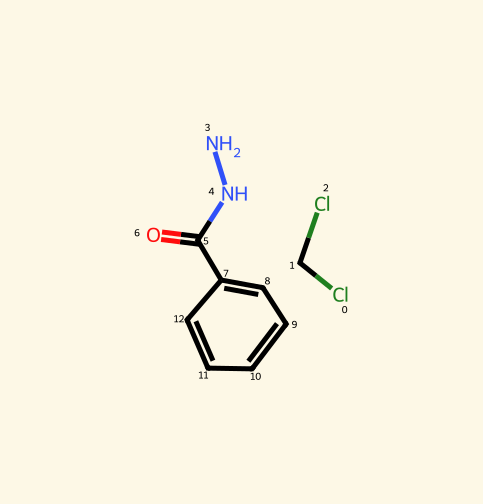 ClCCl.NNC(=O)c1ccccc1